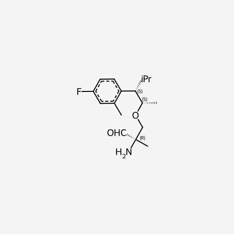 Cc1cc(F)ccc1[C@H](C(C)C)[C@H](C)OC[C@@](C)(N)C=O